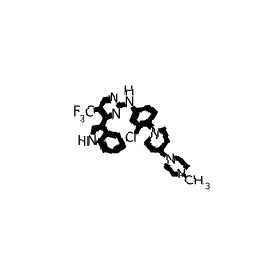 CN1CCN(C2CCN(c3ccc(Nc4ncc(C(F)(F)F)c(-c5c[nH]c6ccccc56)n4)cc3Cl)CC2)CC1